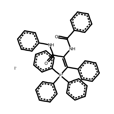 O=C(Nc1ccccc1)C(NC(=O)c1ccccc1)=C(c1ccccc1)[P+](c1ccccc1)(c1ccccc1)c1ccccc1.[I-]